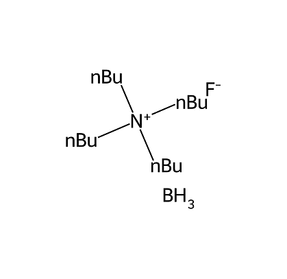 B.CCCC[N+](CCCC)(CCCC)CCCC.[F-]